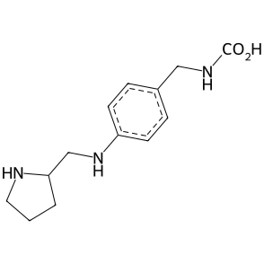 O=C(O)NCc1ccc(NCC2CCCN2)cc1